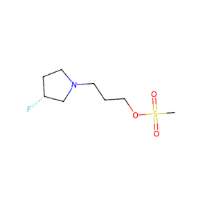 CS(=O)(=O)OCCCN1CC[C@@H](F)C1